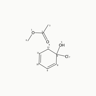 COC(C)=O.OC1(Cl)C=CC=CC1